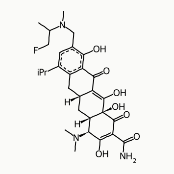 CC(C)c1cc(CN(C)C(C)CF)c(O)c2c1C[C@H]1C[C@H]3[C@H](N(C)C)C(O)=C(C(N)=O)C(=O)[C@@]3(O)C(O)=C1C2=O